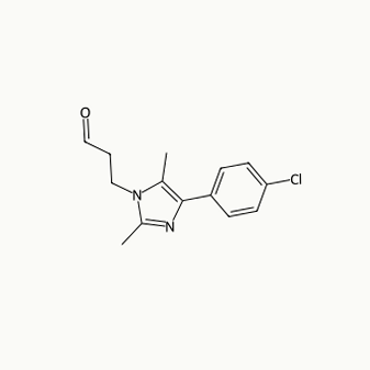 Cc1nc(-c2ccc(Cl)cc2)c(C)n1CCC=O